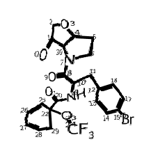 O=C1COC2CCN(C(=O)C(Cc3ccc(Br)cc3)NC(=O)C3(OC(F)(F)F)C=CC=CC3)C12